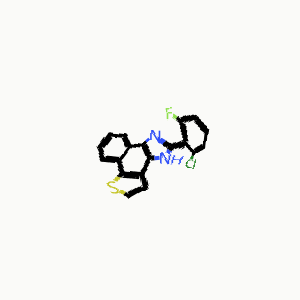 Fc1cccc(Cl)c1-c1nc2c3ccccc3c3sccc3c2[nH]1